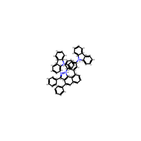 c1ccc(-c2cc3cccc(-c4cc(-n5c6ccccc6c6ccccc65)cc(-n5c6ccccc6c6ccccc65)c4)c3c3c2c(-c2ccccc2)nn3-c2ccccc2)cc1